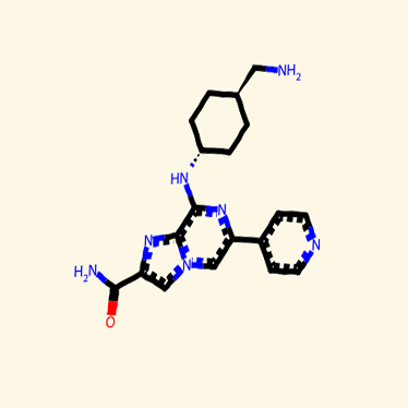 NC[C@H]1CC[C@H](Nc2nc(-c3ccncc3)cn3cc(C(N)=O)nc23)CC1